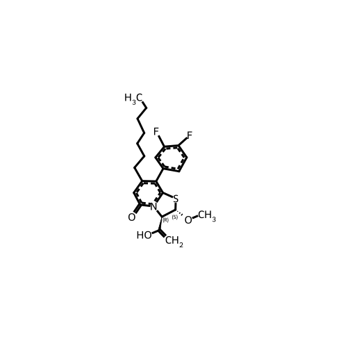 C=C(O)[C@@H]1[C@@H](OC)Sc2c(-c3ccc(F)c(F)c3)c(CCCCCCC)cc(=O)n21